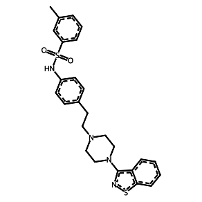 Cc1cccc(S(=O)(=O)Nc2ccc(CCN3CCN(c4nsc5ccccc45)CC3)cc2)c1